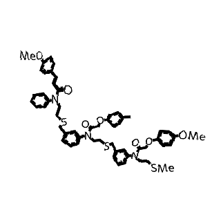 COc1ccc(/C=C/C(=O)N(CCSCc2cccc(N(CCSCc3cccc(N(CCSC)C(=O)COc4ccc(OC)cc4)c3)C(=O)COc3ccc(C)cc3)c2)c2ccccc2)cc1